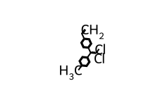 C=Cc1ccc(C(=C(Cl)Cl)c2ccc(C)cc2)cc1